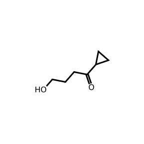 O=C(CCCO)C1CC1